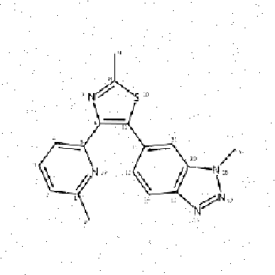 Cc1cccc(-c2nc(C)sc2-c2ccc3nnn(C)c3c2)n1